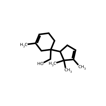 CC1=CCCC(CO)(C2CC=C(C)C2(C)C)C1